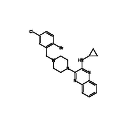 Clc1ccc(Br)c(CN2CCN(c3nc4ccccc4nc3NC3CC3)CC2)c1